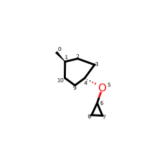 C[C@H]1CC[C@H](OC2CC2)CC1